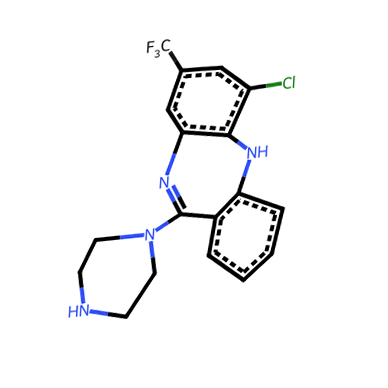 FC(F)(F)c1cc(Cl)c2c(c1)N=C(N1CCNCC1)c1ccccc1N2